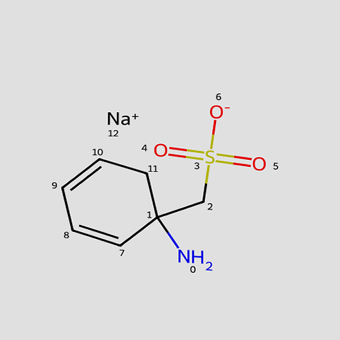 NC1(CS(=O)(=O)[O-])C=CC=CC1.[Na+]